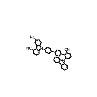 N#Cc1ccc2c(c1)c1c(C#N)cccc1n2-c1ccc(-c2ccc(-c3c(C#N)cccc3-n3c4ccccc4c4ccccc43)cc2)cc1